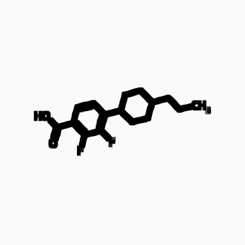 CCCC1CCC(c2ccc(C(=O)O)c(F)c2F)CC1